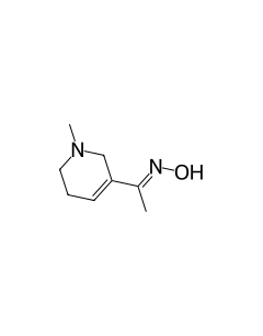 CC(=NO)C1=CCCN(C)C1